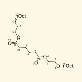 CCCCCCCCOCCOC(=O)CCCCC(=O)OCCOCCCCCCCC